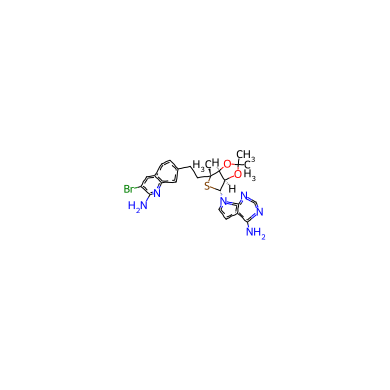 CC1(C)O[C@H]2[C@H](n3ccc4c(N)ncnc43)S[C@](C)(CCc3ccc4cc(Br)c(N)nc4c3)[C@H]2O1